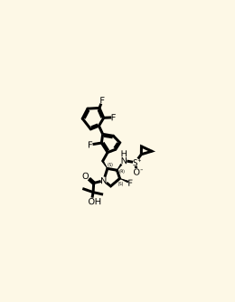 CC(C)(O)C(=O)N1C[C@H](F)[C@H](N[S+]([O-])C2CC2)[C@@H]1Cc1cccc(-c2cccc(F)c2F)c1F